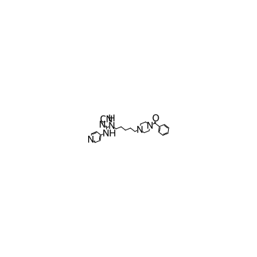 N#C/N=C(\NCCCCCN1CCN(C(=O)c2ccccc2)CC1)Nc1ccncc1